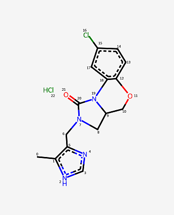 Cc1[nH]cnc1CN1CC2COc3ccc(Cl)cc3N2C1=O.Cl